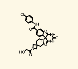 O=C1NC(=O)C(c2ccc(C(=O)Nc3ccc(Cl)cc3)cc2)(N2CCC3(CC2)CN(C(=O)CO)C3)C(=O)N1